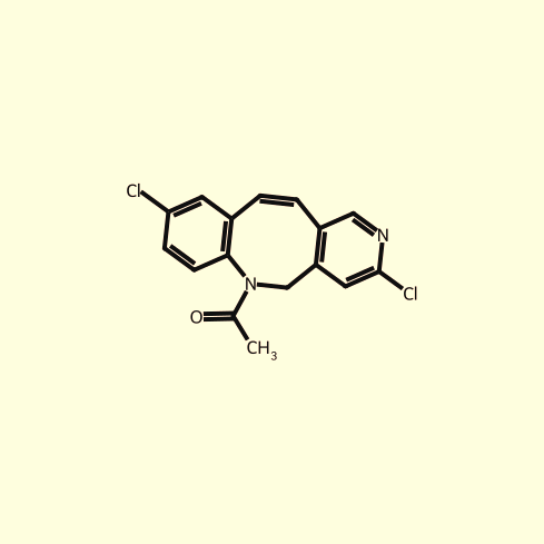 CC(=O)N1Cc2cc(Cl)ncc2C=Cc2cc(Cl)ccc21